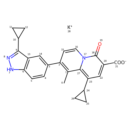 Cc1c(-c2ccc3[nH]nc(C4CC4)c3c2)ccn2c(=O)c(C(=O)[O-])cc(C3CC3)c12.[K+]